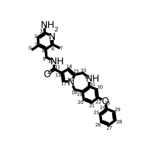 Cc1cc(N)nc(C)c1CNC(=O)c1cc2n(c1)Cc1ccc(Oc3ccccc3)cc1NC2